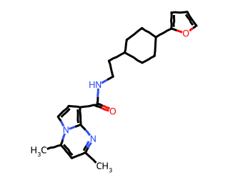 Cc1cc(C)n2ccc(C(=O)NCCC3CCC(c4ccco4)CC3)c2n1